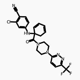 N#Cc1ccc(NC2(C(=O)N3CCN(c4ccc(C(F)(F)F)nn4)CC3)C=CC=CC2)cc1Cl